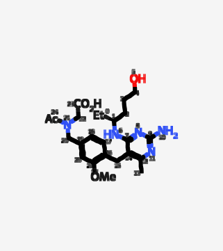 CC[C@@H](CCCO)Nc1nc(N)nc(C)c1Cc1ccc(CN(CC(=O)O)C(C)=O)cc1OC